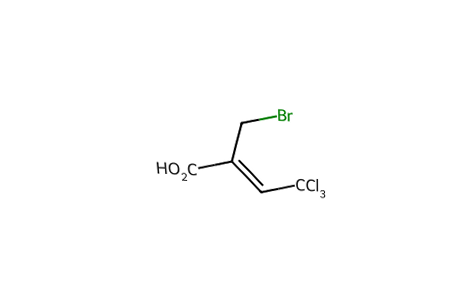 O=C(O)C(=CC(Cl)(Cl)Cl)CBr